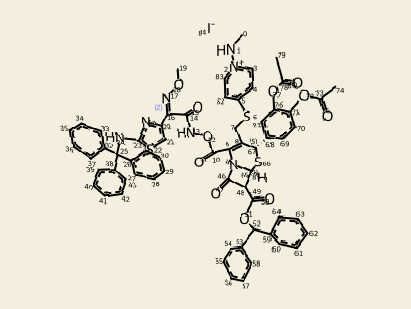 CN[n+]1ccc(SCC2=C(C(=O)ONC(=O)/C(=N\OC)c3csc(NC(c4ccccc4)(c4ccccc4)c4ccccc4)n3)N3C(=O)C(C(=O)OC(c4ccccc4)c4ccccc4)[C@@H]3S[C@H]2c2ccc(OC(C)=O)c(OC(C)=O)c2)cc1.[I-]